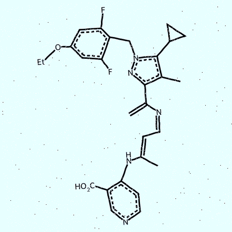 C=C(/N=C\C=C(/C)Nc1ccncc1C(=O)O)c1nn(Cc2c(F)cc(OCC)cc2F)c(C2CC2)c1C